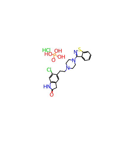 Cl.O=C1Cc2cc(CCN3CCN(c4nsc5ccccc45)CC3)c(Cl)cc2N1.O=P(O)(O)O